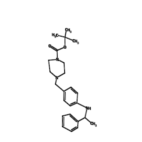 CC(Nc1ccc(CN2CCN(C(=O)OC(C)(C)C)CC2)cc1)c1ccccc1